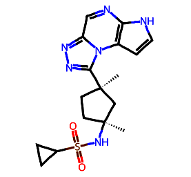 C[C@]1(NS(=O)(=O)C2CC2)CC[C@@](C)(c2nnc3cnc4[nH]ccc4n23)C1